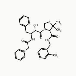 Cc1ccccc1CNC(=O)[C@H]1N(C(=O)[C@@H](O)[C@H](Cc2ccccc2)NC(=O)C[n+]2ccccc2)CSC1(C)C